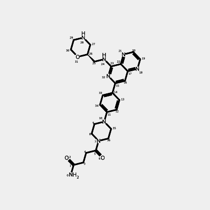 NC(=O)CCC(=O)N1CCN(c2ccc(-c3cc4nccnc4c(NC[C@@H]4CNCCO4)n3)cc2)CC1